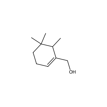 CC1C(CO)=CCCC1(C)C